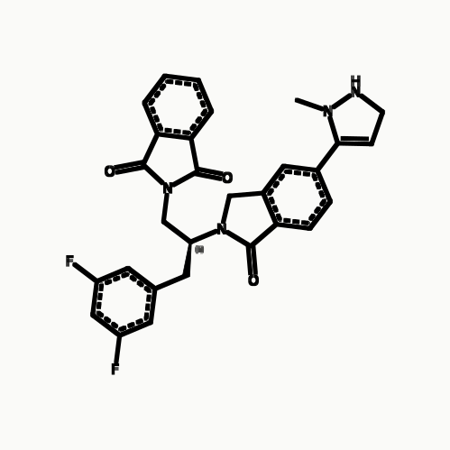 CN1NCC=C1c1ccc2c(c1)CN([C@@H](Cc1cc(F)cc(F)c1)CN1C(=O)c3ccccc3C1=O)C2=O